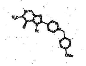 CCn1c(-c2cc[n+](Cc3ccc(OC)cc3)cc2)nc2cnn(C)c(=O)c21